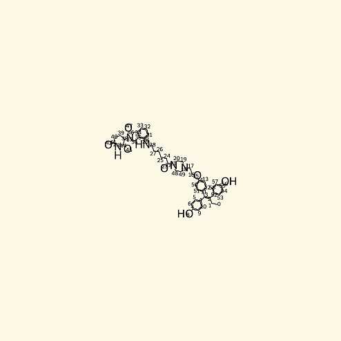 CCC(=C(c1ccc(O)cc1)c1ccc(OCCN2CCN(C(=O)CCCCCNc3cccc4c3CN(C3CCC(=O)NC3=O)C4=O)CC2)cc1)c1ccc(O)cc1